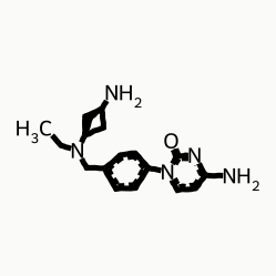 CCN(Cc1ccc(-n2ccc(N)nc2=O)cc1)C12CC(N)(C1)C2